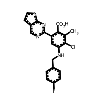 Cc1c(Cl)c(NCc2ccc(F)cc2)cc(-c2ncc3ccsc3n2)c1C(=O)O